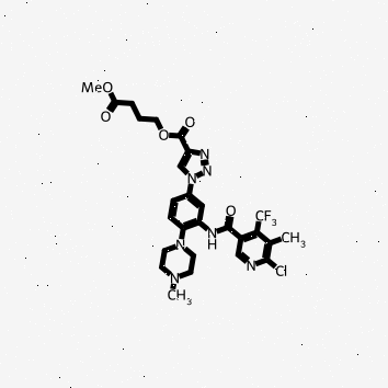 COC(=O)CCCOC(=O)c1cn(-c2ccc(N3CCN(C)CC3)c(NC(=O)c3cnc(Cl)c(C)c3C(F)(F)F)c2)nn1